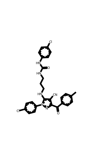 Cc1ccc(C(=O)c2nn(-c3ccc(Cl)cc3)c(NCCCNC(=O)Nc3ccc(Cl)cc3)c2C#N)cc1